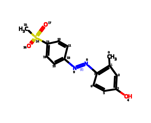 Cc1cc(O)ccc1/N=N/c1ccc(S(C)(=O)=O)cc1